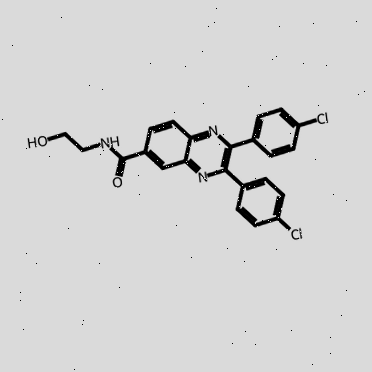 O=C(NCCO)c1ccc2nc(-c3ccc(Cl)cc3)c(-c3ccc(Cl)cc3)nc2c1